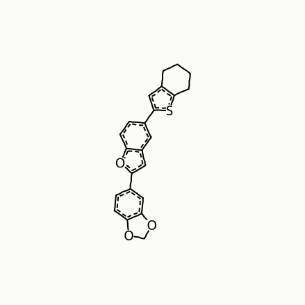 c1cc2c(cc1-c1cc3cc(-c4cc5c(s4)CCCC5)ccc3o1)OCO2